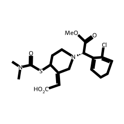 COC(=O)[C@H](C1=CCCC=C1Cl)N1CCC(SC(=O)N(C)C)/C(=C\C(=O)O)C1